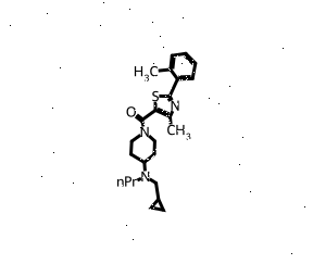 CCCN(CC1CC1)C1CCN(C(=O)c2sc(-c3ccccc3C)nc2C)CC1